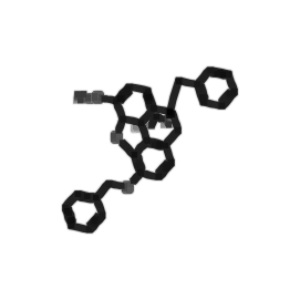 COC1=CC=C2C3Cc4ccc(OCc5ccccc5)c5c4[C@@]2(CCN3Cc2ccccc2)C1O5